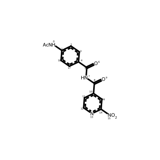 CC(=O)Nc1ccc(C(=O)NC(=O)c2ccnc([N+](=O)[O-])c2)cc1